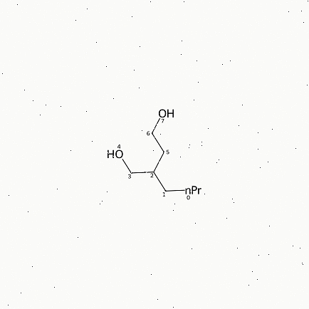 CCCCC(CO)CCO